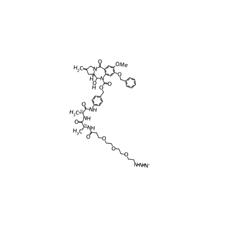 C=C1C[C@H]2C(O)N(C(=O)OCc3ccc(NC(=O)[C@H](C)NC(=O)[C@H](C)NC(=O)CCOCCOCCOCCN=[N+]=[N-])cc3)c3cc(OCc4ccccc4)c(OC)cc3C(=O)N2C1